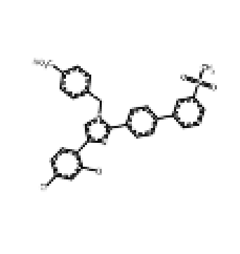 CS(=O)(=O)c1cccc(-c2ccc(-c3nc(-c4ccc(Cl)cc4Cl)cn3Cc3ccc(C(=O)O)cc3)cc2)c1